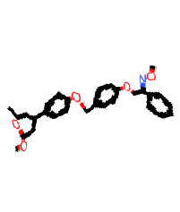 CCCC(CC(=O)OC)c1ccc(OCc2ccc(OCC(=NOC)c3ccccc3)cc2)cc1